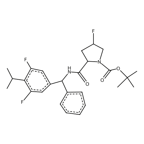 CC(C)c1c(F)cc(C(NC(=O)C2CC(F)CN2C(=O)OC(C)(C)C)c2ccccc2)cc1F